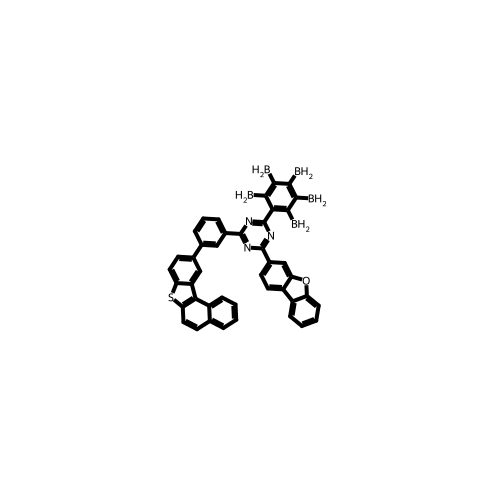 Bc1c(B)c(B)c(-c2nc(-c3cccc(-c4ccc5sc6ccc7ccccc7c6c5c4)c3)nc(-c3ccc4c(c3)oc3ccccc34)n2)c(B)c1B